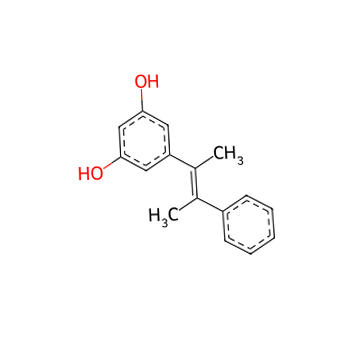 C/C(=C(/C)c1cc(O)cc(O)c1)c1ccccc1